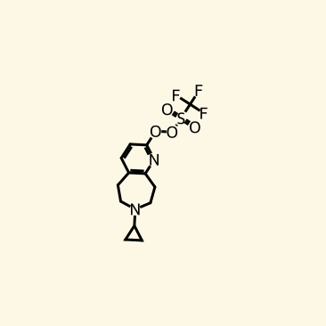 O=S(=O)(OOc1ccc2c(n1)CCN(C1CC1)CC2)C(F)(F)F